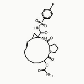 NC(=O)OC1CCCCC/C=C/C2CC2(C(=O)NS(=O)(=O)c2ccc(F)cc2)NC(=O)C2CCCN2C1=O